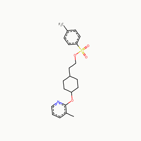 Cc1cccnc1OC1CCC(CCOS(=O)(=O)c2ccc(C(F)(F)F)cc2)CC1